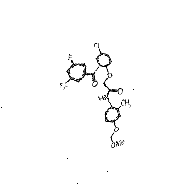 COCOc1ccc(NC(=O)COc2ccc(Cl)cc2C(=O)c2cc(F)cc(C(F)(F)F)c2)c(C)c1